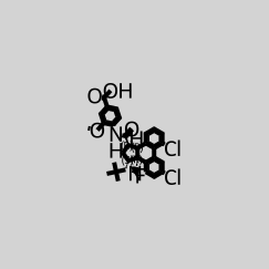 COc1cc(C(=O)O)ccc1NC(=O)[C@@H]1C[C@@H](CC(C)(C)C)[C@]2(C#N)c3c(F)cc(Cl)cc3-c3c(Cl)cccc3[C@@H]12